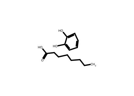 CCCCCCCC(=O)O.Oc1ccccc1O